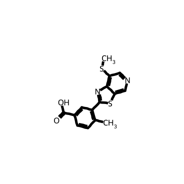 CSc1cncc2sc(-c3cc(C(=O)O)ccc3C)nc12